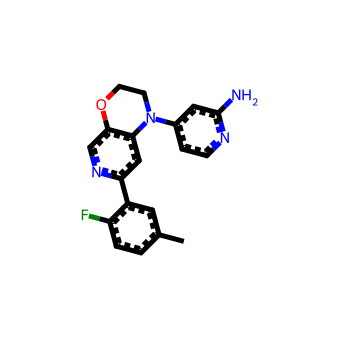 Cc1ccc(F)c(-c2cc3c(cn2)OCCN3c2ccnc(N)c2)c1